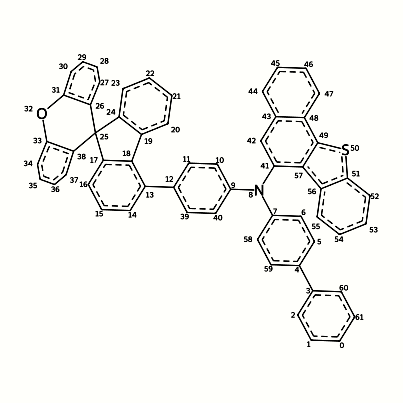 c1ccc(-c2ccc(N(c3ccc(-c4cccc5c4-c4ccccc4C54c5ccccc5Oc5ccccc54)cc3)c3cc4ccccc4c4sc5ccccc5c34)cc2)cc1